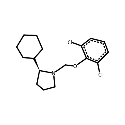 Clc1cccc(Cl)c1OCN1CCC[C@H]1C1CCCCC1